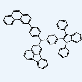 c1ccc(-c2c(-c3ccc(N(c4ccc(-c5ccc6ccc7ccccc7c6c5)cc4)c4cc5c6c(cccc6c4)-c4ccccc4-5)cc3)n(-c3ccccc3)c3ccccc23)cc1